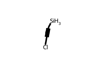 [SiH3]C#CCl